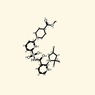 COC(=O)C1CCN(c2cccc(S(=O)(=O)NC(=O)c3cccnc3N3CC(C)CC3(C)C)n2)CC1